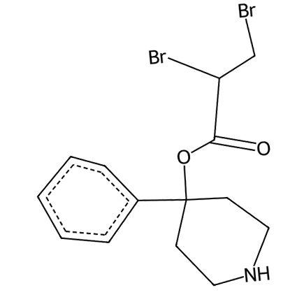 O=C(OC1(c2ccccc2)CCNCC1)C(Br)CBr